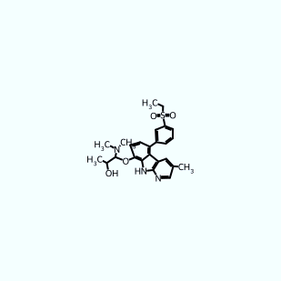 CCS(=O)(=O)c1cccc(-c2ccc(OC(C(C)O)N(C)C)c3[nH]c4ncc(C)cc4c23)c1